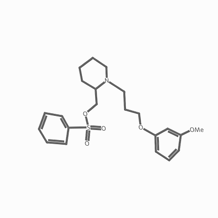 COc1cccc(OCCCN2CCCCC2COS(=O)(=O)c2ccccc2)c1